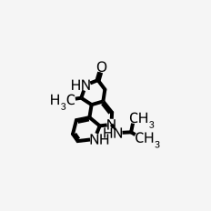 CC(C)NN1C=C2CC(=O)NC(C)C2C2=CC=CNC21